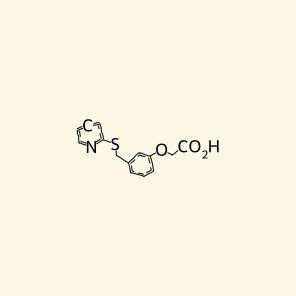 O=C(O)COc1cccc(CSc2ccccn2)c1